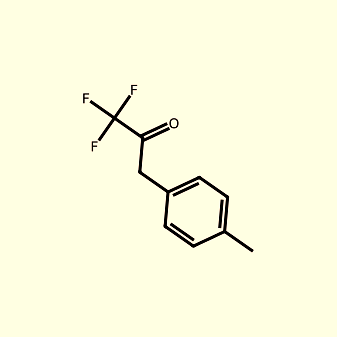 Cc1ccc(CC(=O)C(F)(F)F)cc1